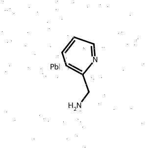 NCc1ccccn1.[Pb]